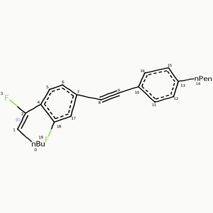 CCCC/C=C(/F)c1ccc(C#Cc2ccc(CCCCC)cc2)cc1F